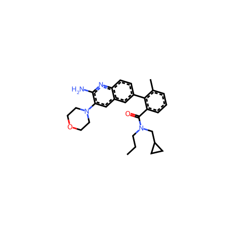 CCCN(CC1CC1)C(=O)c1cccc(C)c1-c1ccc2nc(N)c(N3CCOCC3)cc2c1